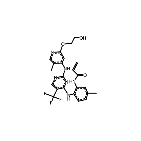 C=CC(=O)Nc1cc(C)ccc1Nc1nc(Nc2cc(OCCO)ncc2C)ncc1C(F)(F)F